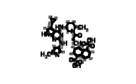 C=CC(=O)N1C[C@H](Nc2nc(Nc3cnn(C)c3)nc3[nH]cc(C4CC4)c23)CC[C@@H]1C.O=S(=O)(O)c1cccc2c(S(=O)(=O)O)cccc12